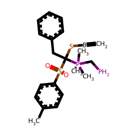 C=BSC(Cc1ccccc1)(S(=O)(=O)c1ccc(C)cc1)P(C)(C)(C)CP